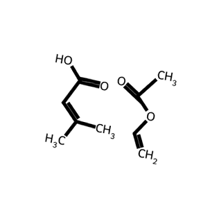 C=COC(C)=O.CC(C)=CC(=O)O